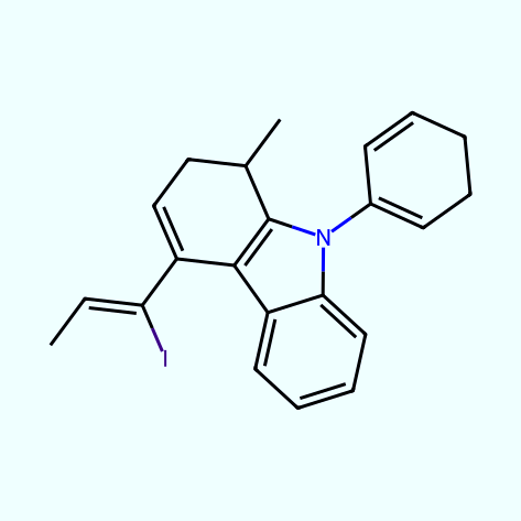 C/C=C(\I)C1=CCC(C)c2c1c1ccccc1n2C1=CCCC=C1